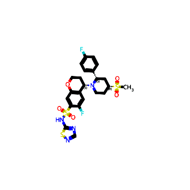 CS(=O)(=O)[C@@H]1CCN([C@H]2CCOc3cc(S(=O)(=O)Nc4ncns4)c(F)cc32)[C@H](c2ccc(F)cc2)C1